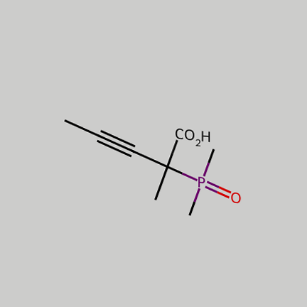 CC#CC(C)(C(=O)O)P(C)(C)=O